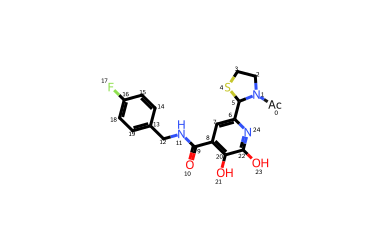 CC(=O)N1CCSC1c1cc(C(=O)NCc2ccc(F)cc2)c(O)c(O)n1